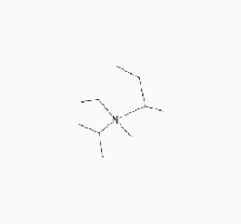 CCC(C)[N+](C)(CC)C(C)C